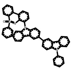 O=S1(c2ccccc2)=Nc2c(cccc2-n2c3ccccc3c3cc(-c4ccc5c(c4)c4ccccc4n5-c4ccccc4)ccc32)-c2ccccc21